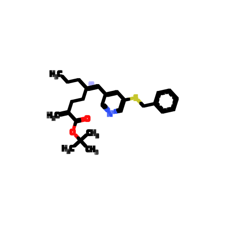 C=C(CC/C(=C\C1=CC(SCc2ccccc2)=C=[N+]=C1)CCC)C(=O)OC(C)(C)C